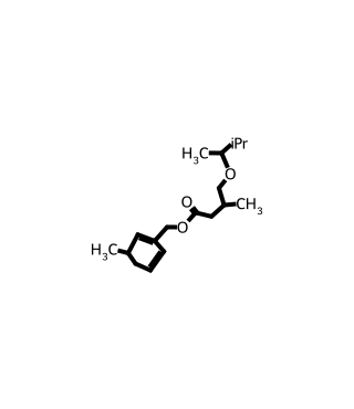 CC1C=C(COC(=O)CC(C)COC(C)C(C)C)C=CC1